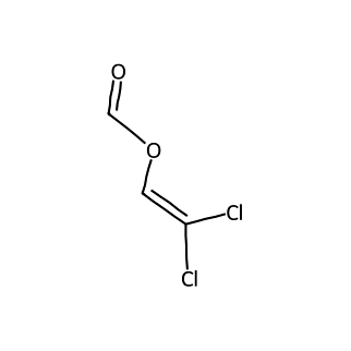 O=COC=C(Cl)Cl